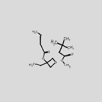 CCCC(=O)OC1(CC)COC1.COC(=O)CC(C)(C)C